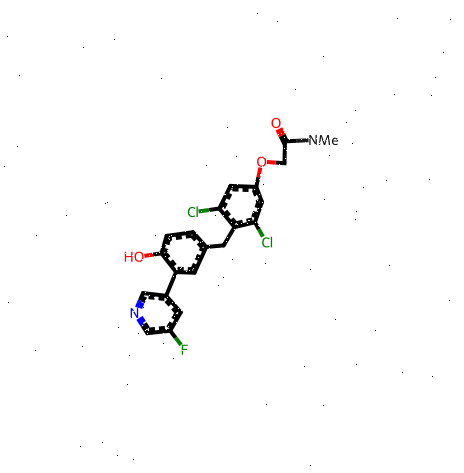 CNC(=O)COc1cc(Cl)c(Cc2ccc(O)c(-c3cncc(F)c3)c2)c(Cl)c1